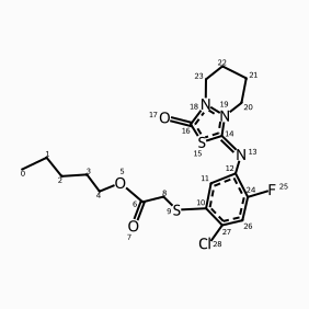 CCCCCOC(=O)CSc1cc(N=c2sc(=O)n3n2CCCC3)c(F)cc1Cl